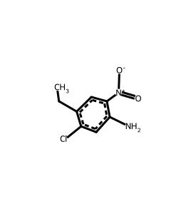 CCc1cc([N+](=O)[O-])c(N)cc1Cl